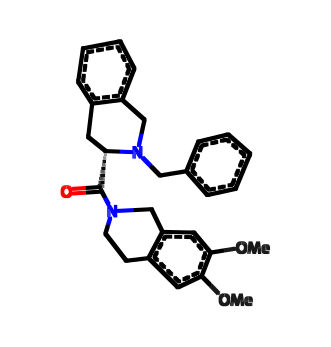 COc1cc2c(cc1OC)CN(C(=O)[C@@H]1Cc3ccccc3CN1Cc1ccccc1)CC2